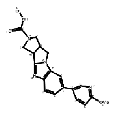 CCNC(=O)N1CC2Cn3c(nc4ccc(-c5ccc(OC)nc5)cc43)C2C1